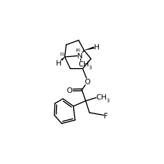 CN1[C@@H]2CC[C@H]1CC(OC(=O)C(C)(CF)c1ccccc1)C2